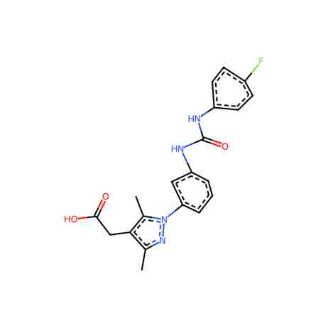 Cc1nn(-c2cccc(NC(=O)Nc3ccc(F)cc3)c2)c(C)c1CC(=O)O